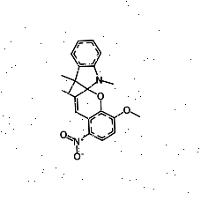 COc1ccc([N+](=O)[O-])c2c1OC1(C(C)=C2)N(C)c2ccccc2C1(C)C